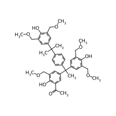 COCc1cc(C(C)(C)c2ccc(C(C)(c3cc(COC)c(O)c(COC)c3)c3cc(COC)c(O)c(C(C)=O)c3)cc2)cc(COC)c1O